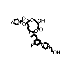 C/C(=C\c1cc(F)cc(N2CCN(CCO)CC2)c1)[C@H]1OC(=O)C[C@H](O)CC[C@H](C)[C@@H](OC(=O)N2CCN(C)CC2)/C=C/[C@@H]1C